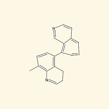 Cc1ccc(-c2cccc3ccncc23)c2c1N=CCC2